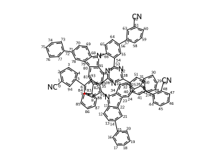 N#Cc1cccc(-c2ccc(-n3c4ccc(-c5ccccc5)cc4c4cc(-c5ccccc5)ccc43)c(-c3nc(-c4ccc(-c5ccccc5C#N)cc4)nc(-c4cc(-c5cccc(C#N)c5)ccc4-n4c5ccc(-c6ccccc6)cc5c5cc(-c6ccccc6)ccc54)n3)c2)c1